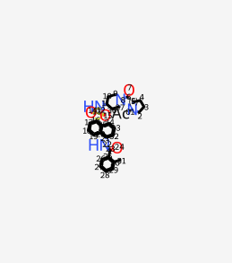 CC(=O)N1CCC[C@H]1C(=O)N1CCC(NS(=O)(=O)c2cccc3c(NC(=O)c4ccccc4C)cccc23)CC1